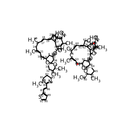 CC1=C[C@H]2C(=O)O[C@H]3C[C@@H](C/C=C(\C)C[C@@H](C)/C=C/C=C4\CO[C@H](/C1=N\O)[C@@]42O)O[C@@]1(CC[C@H](C)[C@@H](C)O1)C3.CC[C@H]1O[C@]2(CC[C@@H]1C)C[C@@H]1C[C@@H](C/C=C(\C)C[C@@H](C)/C=C/C=C3\CO[C@@H]4/C(=N\O)C(C)=C[C@@H](C(=O)O1)[C@]34O)O2.CN1CCCN=C1/C=C/c1cccs1